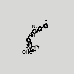 CCCC(C(=O)NC=O)N1Cc2cc(CNCC3CCN(c4ccc(-c5cccc(Cl)c5)cc4C#N)CC3)ccc2C1=O